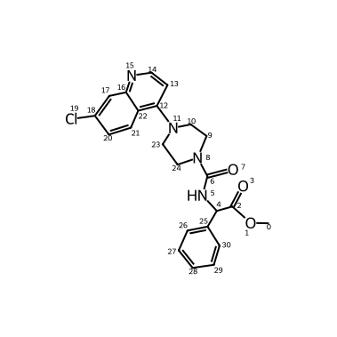 COC(=O)C(NC(=O)N1CCN(c2ccnc3cc(Cl)ccc23)CC1)c1ccccc1